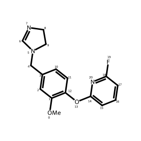 COc1cc(CN2C=NCC2)ccc1Oc1cccc(F)n1